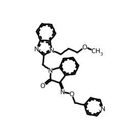 COCCCn1c(CN2C(=O)/C(=N/OCc3ccncc3)c3ccccc32)nc2ccccc21